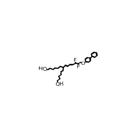 OCCCCCCC(CCCCCCO)CCCCC(F)C(F)COc1ccc(-c2ccccc2)cc1